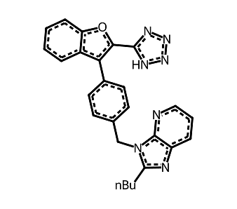 CCCCc1nc2cccnc2n1Cc1ccc(-c2c(-c3nnn[nH]3)oc3ccccc23)cc1